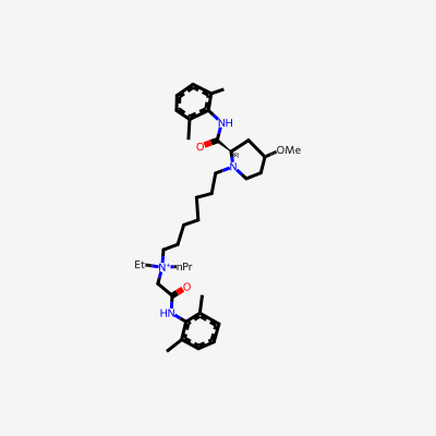 CCC[N+](CC)(CCCCCCCN1CCC(OC)C[C@@H]1C(=O)Nc1c(C)cccc1C)CC(=O)Nc1c(C)cccc1C